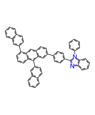 c1ccc(-n2c(-c3ccc(-c4ccc5cc6c(-c7ccc8ccccc8c7)cccc6c(-c6ccc7ccccc7c6)c5c4)cc3)nc3ccccc32)cc1